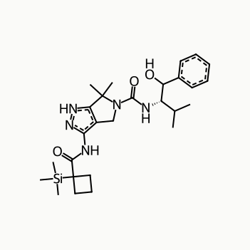 CC(C)[C@H](NC(=O)N1Cc2c(NC(=O)C3([Si](C)(C)C)CCC3)n[nH]c2C1(C)C)C(O)c1ccccc1